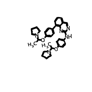 CC(Oc1ccc(Nc2ncc3cccc(-c4ccc(OC(C)N5CCCC5)cc4)c3n2)cc1)N1CCCC1